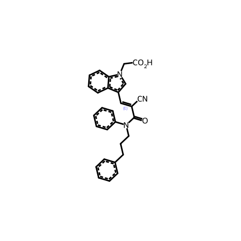 N#C/C(=C\c1cn(CC(=O)O)c2ccccc12)C(=O)N(CCCc1ccccc1)c1ccccc1